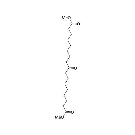 COC(=O)CCCCCCCC(=O)CCCCCCCC(=O)OC